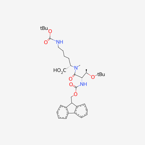 C[C@@H](OC(C)(C)C)[C@H](NC(=O)OCC1c2ccccc2-c2ccccc21)C(=O)N(C)[C@@H](CCCCNC(=O)OC(C)(C)C)C(=O)O